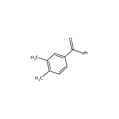 CCCC(=O)c1ccc(C)c(C)c1